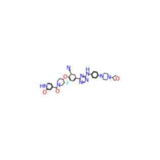 N#CC1CC(c2ncnc(Nc3ccc(N4CCN(C5COC5)CC4)cc3)n2)=CC=C1O[C@H]1CCN(C(=O)c2cc[nH]c(=O)c2)C[C@H]1F